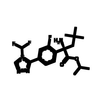 CC(C)OC(=O)[C@@](N)(CC(C)(C)C)c1ccc(-c2nncn2C(F)F)cc1F